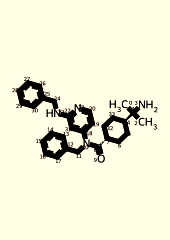 CC(C)(N)[C@H]1CC[C@H](C(=O)N(Cc2ccccc2)c2ccnc(NCc3ccccc3)c2)CC1